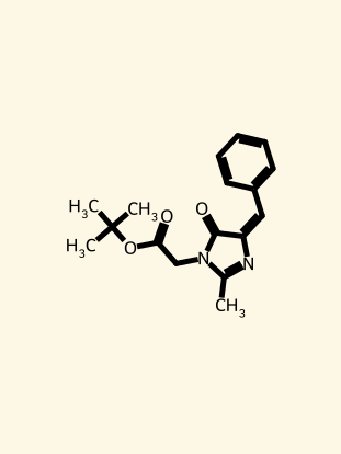 CC1=N/C(=C/c2ccccc2)C(=O)N1CC(=O)OC(C)(C)C